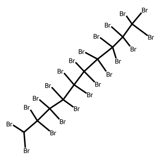 Br[C](Br)C(Br)(Br)C(Br)(Br)C(Br)(Br)C(Br)(Br)C(Br)(Br)C(Br)(Br)C(Br)(Br)C(Br)(Br)C(Br)(Br)Br